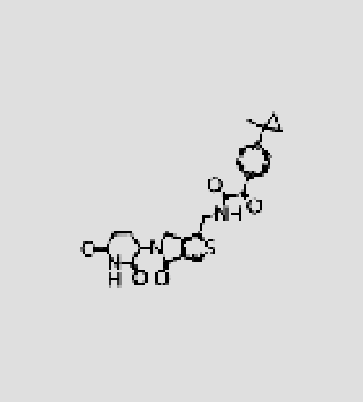 CC1(c2ccc(C(=O)C(=O)NCc3scc4c3CN(C3CCC(=O)NC3=O)C4=O)cc2)CC1